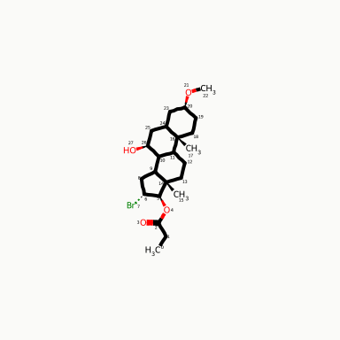 CCC(=O)O[C@H]1[C@H](Br)CC2C3C(CC[C@@]21C)[C@@]1(C)CC[C@H](OC)CC1C[C@@H]3O